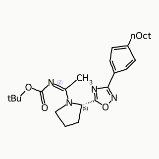 CCCCCCCCc1ccc(-c2noc([C@@H]3CCCN3/C(C)=N\C(=O)OC(C)(C)C)n2)cc1